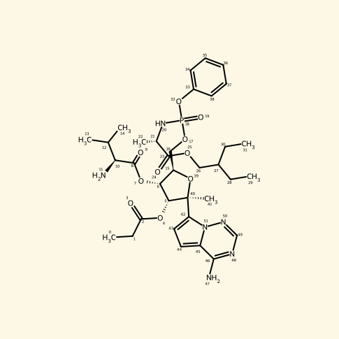 CCC(=O)O[C@@H]1[C@H](OC(=O)[C@@H](N)C(C)C)[C@@H](COP(=O)(N[C@@H](C)C(=O)OCC(CC)CC)Oc2ccccc2)O[C@@]1(C)c1ccc2c(N)ncnn12